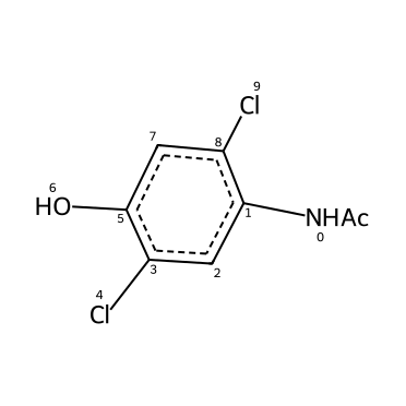 CC(=O)Nc1cc(Cl)c(O)cc1Cl